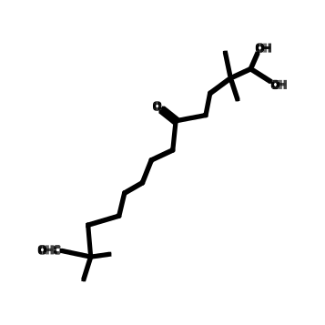 CC(C)(C=O)CCCCCCC(=O)CCC(C)(C)C(O)O